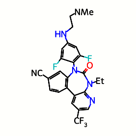 CCN1C(=O)N(c2c(F)cc(NCCNC)cc2F)c2cc(C#N)ccc2-c2cc(C(F)(F)F)cnc21